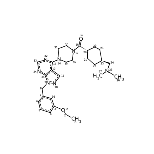 CCOc1cccc(Cn2ncc3c(N4CCN(C(=O)[C@H]5CC[C@H](CN(C)C)CC5)CC4)ncnc32)c1